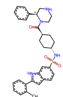 Cc1ccccc1-c1cc2ccc(S(=O)(=O)N[C@H]3CC[C@H](C(=O)N4CCNC[C@@H]4c4ccccc4)CC3)cc2[nH]1